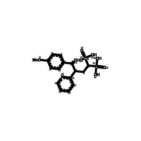 COc1ccc(C(=O)C(CC(P(=O)(O)O)P(=O)(O)O)c2ccccn2)cc1